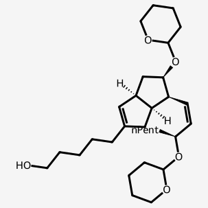 CCCCC[C@@H](/C=C\[C@H]1[C@H]2CC(CCCCCO)=C[C@H]2C[C@H]1OC1CCCCO1)OC1CCCCO1